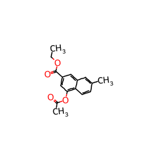 CCOC(=O)c1cc(OC(C)=O)c2ccc(C)cc2c1